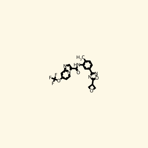 Cc1ccc(-c2noc(C3COC3)n2)cc1NC(=O)c1cnc2cc(OC(F)(F)F)ccn12